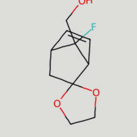 OCC1(F)C2C=CC1C1(C2)OCCO1